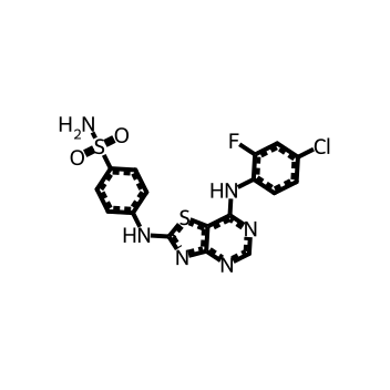 NS(=O)(=O)c1ccc(Nc2nc3ncnc(Nc4ccc(Cl)cc4F)c3s2)cc1